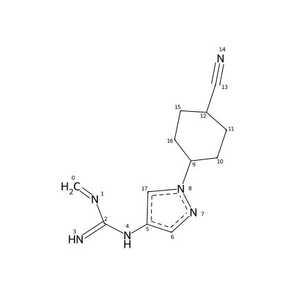 C=NC(=N)Nc1cnn(C2CCC(C#N)CC2)c1